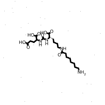 NCCCCCCCC(=O)NCCCC[C@H](NC(=O)NC(CCC(=O)O)C(=O)O)C(=O)O